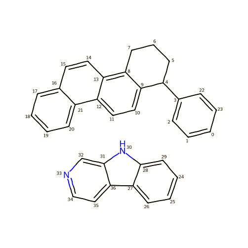 c1ccc(C2CCCc3c2ccc2c3ccc3ccccc32)cc1.c1ccc2c(c1)[nH]c1cnccc12